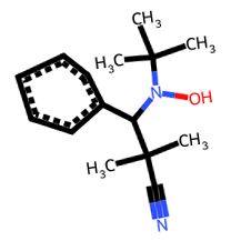 CC(C)(C#N)C(c1ccccc1)N(O)C(C)(C)C